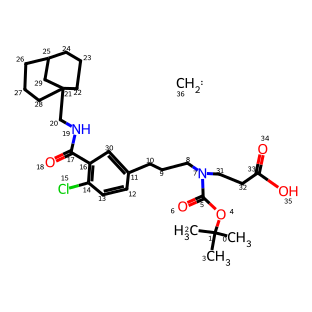 CC(C)(C)OC(=O)N(CCCc1ccc(Cl)c(C(=O)NCC23CCCC(CCC2)C3)c1)CCC(=O)O.[CH2]